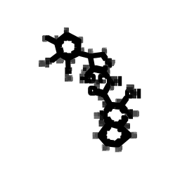 Cc1ccc(C2CSC(NC(=O)c3nc4ccccc4nc3O)=C2C(=O)O)c(F)c1F